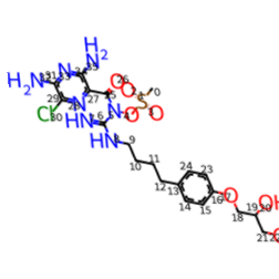 CS(=O)(=O)ON(C(=N)NCCCCc1ccc(OCC(O)CO)cc1)C(=O)c1nc(Cl)c(N)nc1N